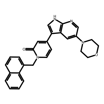 O=c1cc(-c2c[nH]c3ncc(N4CCOCC4)cc23)ccn1Cc1cccc2ccccc12